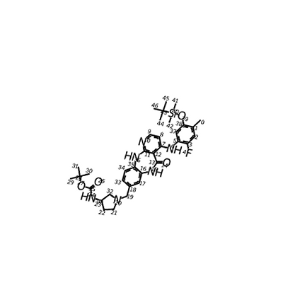 Cc1cc(F)c(Nc2ccnc3c2C(=O)Nc2cc(CN4CC[C@@H](NC(=O)OC(C)(C)C)C4)ccc2N3)cc1O[Si](C)(C)C(C)(C)C